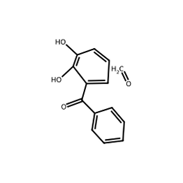 C=O.O=C(c1ccccc1)c1cccc(O)c1O